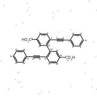 O=C(O)c1ccc(C#Cc2ccccc2)c(-c2cc(C(=O)O)ccc2C#Cc2ccccc2)c1